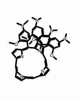 COc1cc(N(C)C)ccc1-c1c(-c2ccc(N(C)C)cc2OC)c2c(-c3ccc(N(C)C)cc3OC)c3nc(cc4ccc(cc5nc(cc1n2-c1ccc(N(C)C)cc1OC)C=C5)[nH]4)C=C3